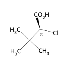 CC(C)(C)[C@H](Cl)C(=O)O